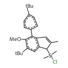 COc1c(C(C)(C)C)cc2c(c1-c1ccc(C(C)(C)C)cc1)C=C(C)C2[Si](C)(C)Cl